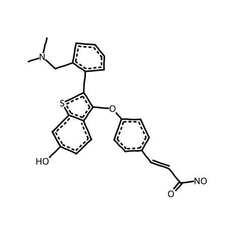 CN(C)Cc1ccccc1-c1sc2cc(O)ccc2c1Oc1ccc(/C=C/C(=O)N=O)cc1